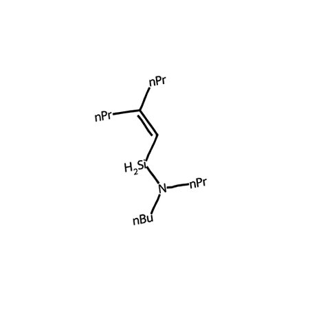 CCCCN(CCC)[SiH2]C=C(CCC)CCC